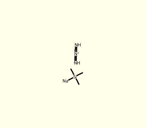 C[Si](C)(C)[Na].N=[N+]=N